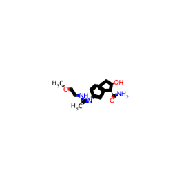 COCCNC(C)=Nc1ccc2c(c1)[C@@H](C(N)=O)[C@H](O)C2